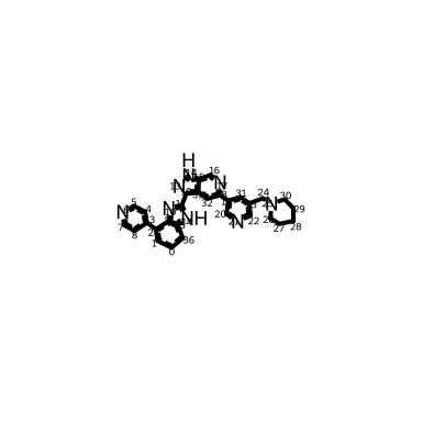 c1cc(-c2ccncc2)c2nc(-c3n[nH]c4cnc(-c5cncc(CN6CCCCC6)c5)cc34)[nH]c2c1